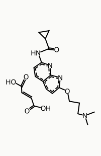 CN(C)CCCOc1ccc2ccc(NC(=O)C3CC3)nc2n1.O=C(O)C=CC(=O)O